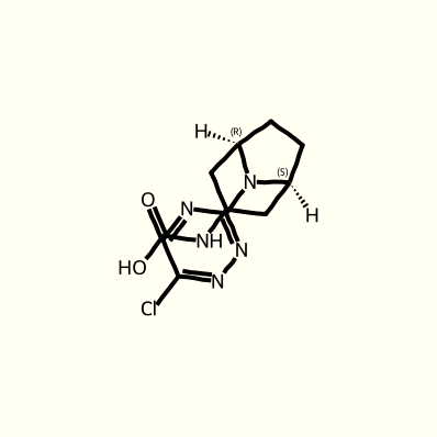 O=C(O)NC1C[C@H]2CC[C@@H](C1)N2c1ncc(Cl)nn1